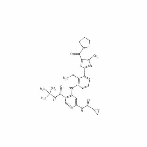 BC(B)(B)NC(=O)c1nnc(NC(=O)C2CC2)cc1Nc1cccc(-c2cc(C(=O)N3CCCC3)n(C)n2)c1OC